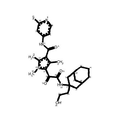 Cc1c(C(=O)Nc2ccnc(F)c2)c(C)n(C)c1C(=O)C(=O)NC1(CCO)CC2CCCC(C2)C1